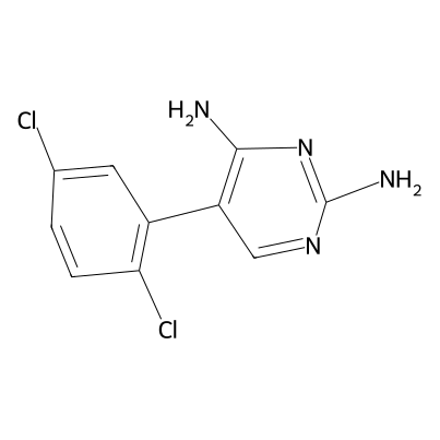 Nc1ncc(-c2cc(Cl)ccc2Cl)c(N)n1